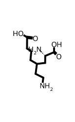 NCCC(CCCC(=O)O)C[C@H](N)C(=O)O